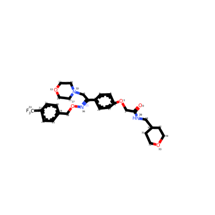 O=C(COc1ccc(/C(CN2CCOCC2)=N/OCc2ccc(C(F)(F)F)cc2)cc1)NCC1CCOCC1